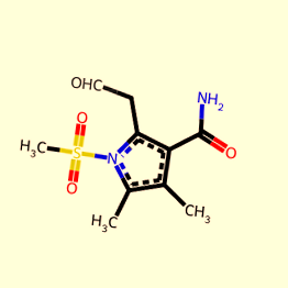 Cc1c(C(N)=O)c(CC=O)n(S(C)(=O)=O)c1C